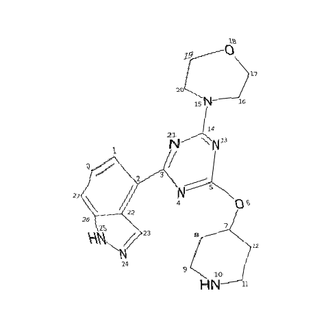 c1cc(-c2nc(OC3CCNCC3)nc(N3CCOCC3)n2)c2cn[nH]c2c1